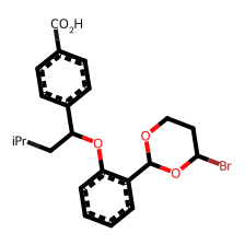 CC(C)CC(Oc1ccccc1C1OCCC(Br)O1)c1ccc(C(=O)O)cc1